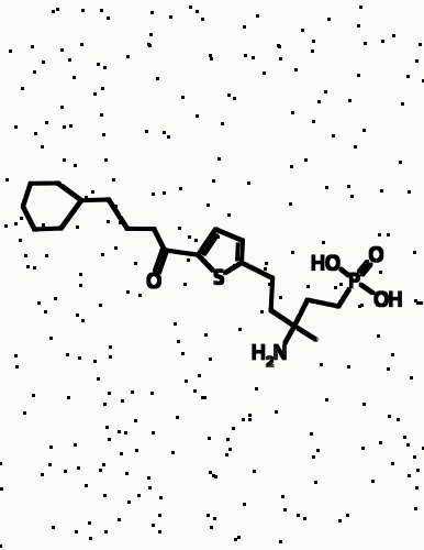 CC(N)(CCc1ccc(C(=O)CCCC2CCCCC2)s1)CCP(=O)(O)O